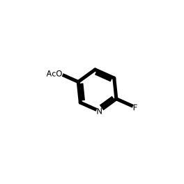 CC(=O)Oc1ccc(F)nc1